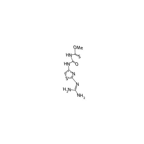 COC(=S)NC(=O)Nc1csc(N=C(N)N)n1